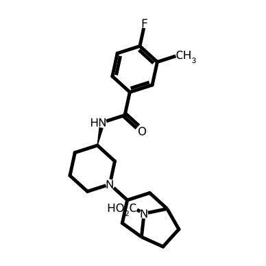 Cc1cc(C(=O)N[C@@H]2CCCN(C3CC4CCC(C3)N4C(=O)O)C2)ccc1F